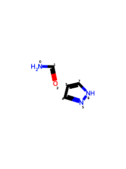 NC=O.c1cn[nH]c1